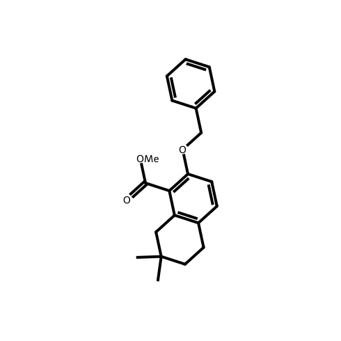 COC(=O)c1c(OCc2ccccc2)ccc2c1CC(C)(C)CC2